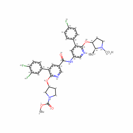 CC(C)(C)OC(=O)N1CC[C@H](Oc2ncc(C(=O)Nc3cnc(OC4CCN(C(=O)O)[C@H]4C(C)(C)C)c(-c4ccc(F)cc4)c3)cc2-c2ccc(F)c(F)c2)C1